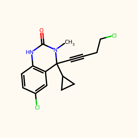 CN1C(=O)Nc2ccc(Cl)cc2C1(C#CCCCl)C1CC1